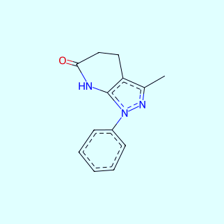 Cc1nn(-c2ccccc2)c2c1CCC(=O)N2